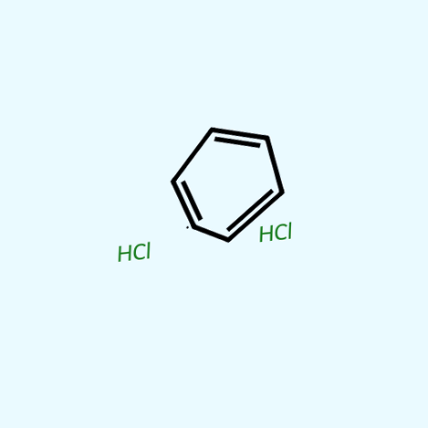 Cl.Cl.[c]1ccccc1